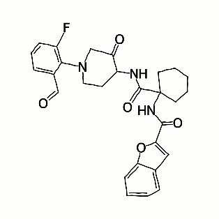 O=Cc1cccc(F)c1N1CCC(NC(=O)C2(NC(=O)c3cc4ccccc4o3)CCCCC2)C(=O)C1